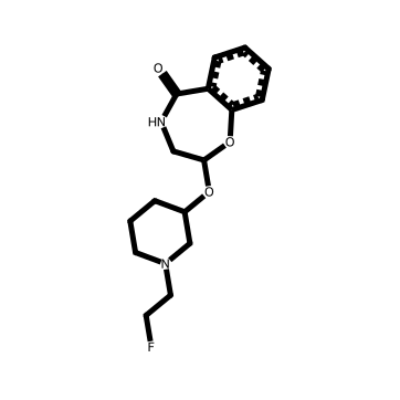 O=C1NCC(OC2CCCN(CCF)C2)Oc2ccccc21